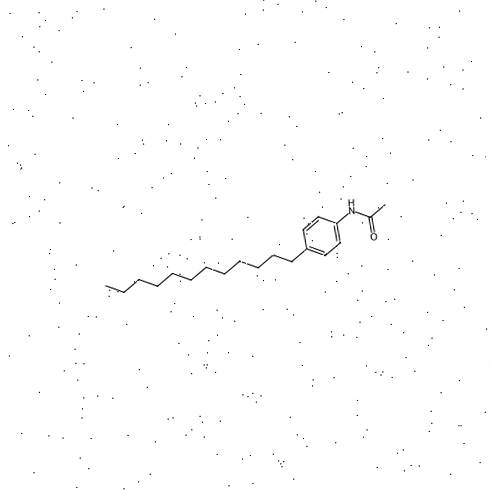 CCCCCCCCCCCCc1ccc(NC(C)=O)cc1